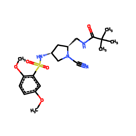 COc1ccc(OC)c(S(=O)(=O)N[C@@H]2C[C@H](CNC(=O)C(C)(C)C)N(C#N)C2)c1